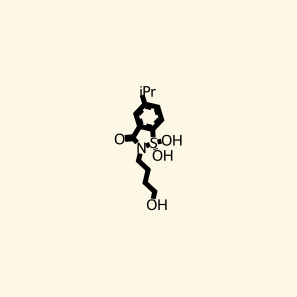 CC(C)c1ccc2c(c1)C(=O)N(CCCCO)S2(O)O